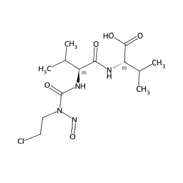 CC(C)[C@H](NC(=O)[C@@H](NC(=O)N(CCCl)N=O)C(C)C)C(=O)O